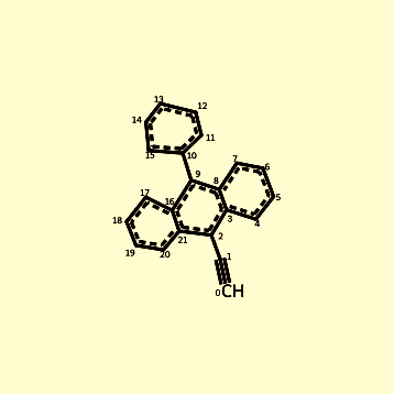 C#Cc1c2ccccc2c(-c2ccccc2)c2ccccc12